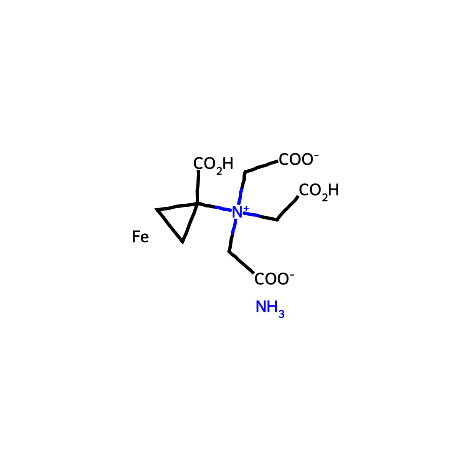 N.O=C([O-])C[N+](CC(=O)[O-])(CC(=O)O)C1(C(=O)O)CC1.[Fe]